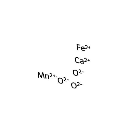 [Ca+2].[Fe+2].[Mn+2].[O-2].[O-2].[O-2]